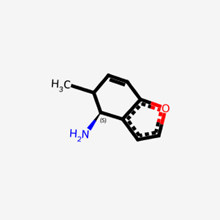 CC1C=Cc2occc2[C@H]1N